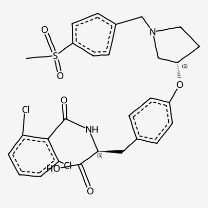 CS(=O)(=O)c1ccc(CN2CC[C@H](Oc3ccc(C[C@H](NC(=O)c4c(Cl)cccc4Cl)C(=O)O)cc3)C2)cc1